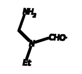 CCN([C]=O)CN